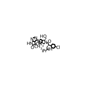 CC(C)NC[C@@H](C(=O)N1Cc2nn(-c3ncnc4c3C(C)(C)C(=O)N4)cc2[C@H]1CO)c1ccc(Cl)cc1